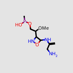 C=C(CN)NC1ONC1C(COP(C)O)OC